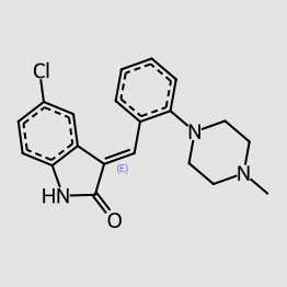 CN1CCN(c2ccccc2/C=C2/C(=O)Nc3ccc(Cl)cc32)CC1